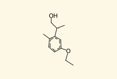 CCOc1ccc(C)c([C](C)CO)c1